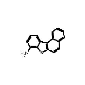 Nc1cccc2c1sc1ccc3ccccc3c12